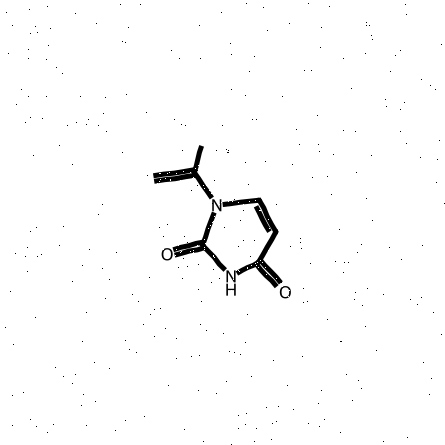 C=C(C)n1ccc(=O)[nH]c1=O